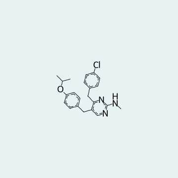 CNc1ncc(Cc2ccc(OC(C)C)cc2)c(Cc2ccc(Cl)cc2)n1